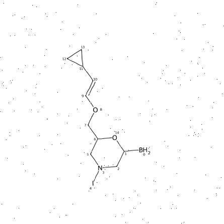 BC1CN(I)CC(COC=CC2CC2)O1